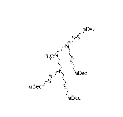 CCCCCCCCCCCCSSCCN(CCCN(C)CCCN(CCSSCCCCCCCCCCCC)CCSSCCCCCCCCCCCC)CCSSCCCCCCCCCCCC